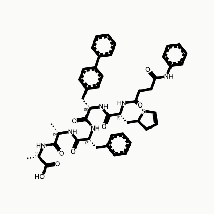 C[C@H](NC(=O)[C@H](C)NC(=O)[C@@H](Cc1ccccc1)NC(=O)[C@H](Cc1ccc(-c2ccccc2)cc1)NC(=O)[C@@H](CC1CC=CS1)NC(=O)CCC(=O)Nc1ccccc1)C(=O)O